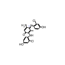 CC1=C(Nc2ccc(O)cc2Cl)C(=O)C=C(N)/C1=N/c1ccc(O)cc1Cl